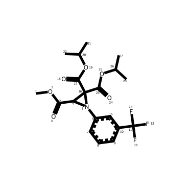 COC(=O)C1N(c2cccc(C(F)(F)F)c2)C1(C(=O)OC(C)C)C(=O)OC(C)C